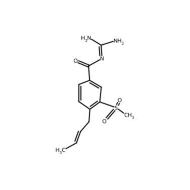 C/C=C/Cc1ccc(C(=O)N=C(N)N)cc1S(C)(=O)=O